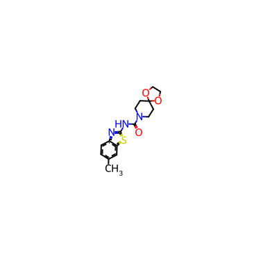 Cc1ccc2nc(NC(=O)N3CCC4(CC3)OCCO4)sc2c1